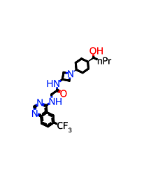 CCCC(O)[C@H]1CC[C@H](N2CC(NC(=O)CNc3ncnc4ccc(C(F)(F)F)cc34)C2)CC1